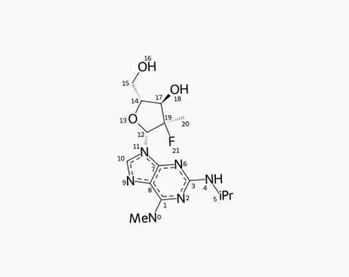 CNc1nc(NC(C)C)nc2c1ncn2[C@@H]1O[C@H](CO)[C@@H](O)[C@@]1(C)F